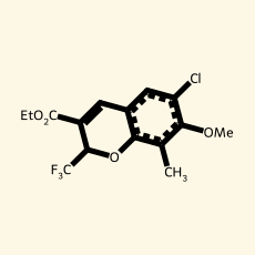 CCOC(=O)C1=Cc2cc(Cl)c(OC)c(C)c2OC1C(F)(F)F